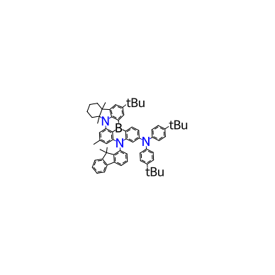 Cc1cc2c3c(c1)N1c4c(cc(C(C)(C)C)cc4C4(C)CCCCC14C)B3c1ccc(N(c3ccc(C(C)(C)C)cc3)c3ccc(C(C)(C)C)cc3)cc1N2c1cccc2c1C(C)(C)c1ccccc1-2